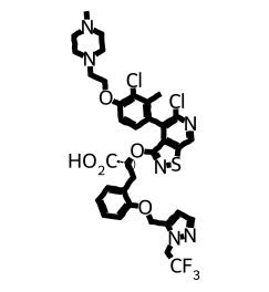 Cc1c(-c2c(Cl)ncc3snc(O[C@H](Cc4ccccc4OCc4ccnn4CC(F)(F)F)C(=O)O)c23)ccc(OCCN2CCN(C)CC2)c1Cl